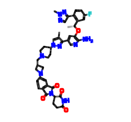 Cc1cn(C2CCN(CC3CN(c4ccc5c(c4)C(=O)N(C4CCC(=O)NC4=O)C5=O)C3)CC2)nc1-c1cnc(N)c(O[C@H](C)c2cc(F)ccc2-c2cnn(C)n2)c1